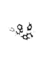 CC(C)(C)N1CCC(n2cc(C(Nc3cc(Cl)c4ncc(C#N)c(Nc5ccc(F)c(Cl)c5)c4c3)c3csc4ccccc34)nn2)CC1